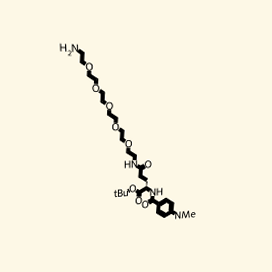 CNc1ccc(C(=O)N[C@@H](CCC(=O)NCCOCCOCCOCCOCCOCCN)C(=O)OC(C)(C)C)cc1